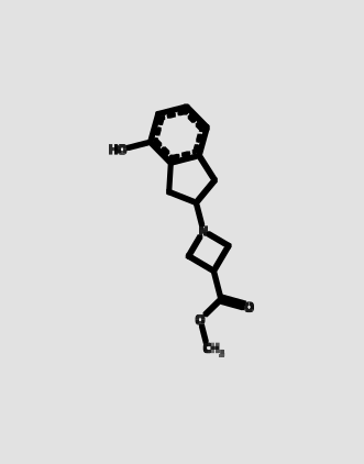 COC(=O)C1CN(C2Cc3cccc(O)c3C2)C1